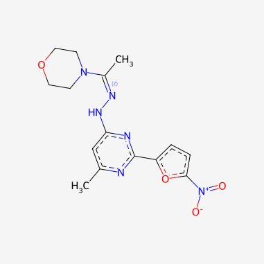 C/C(=N/Nc1cc(C)nc(-c2ccc([N+](=O)[O-])o2)n1)N1CCOCC1